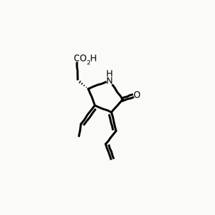 C=C/C=C1/C(=O)N[C@@H](CC(=O)O)/C1=C/C